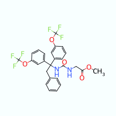 COC(=O)CNC(=O)NC(Cc1ccccc1)(c1cccc(OC(F)(F)F)c1)c1cccc(OC(F)(F)F)c1